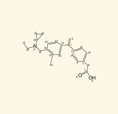 C=C(c1ccc(CC(=O)O)cc1)c1ccc(CN(CC)C2CC2)c(C)c1